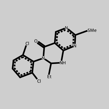 CCC1Nc2nc(SC)ncc2C(=O)N1c1c(Cl)cccc1Cl